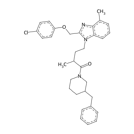 Cc1cccc2c1nc(COc1ccc(Cl)cc1)n2CCC(C)C(=O)N1CCCC(Cc2ccccc2)C1